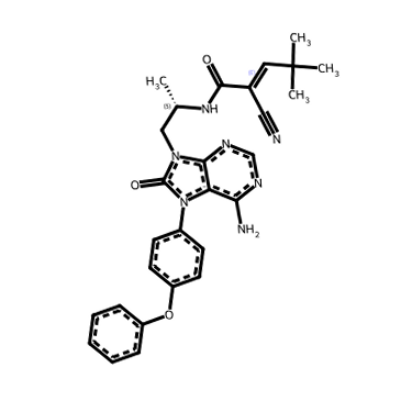 C[C@@H](Cn1c(=O)n(-c2ccc(Oc3ccccc3)cc2)c2c(N)ncnc21)NC(=O)/C(C#N)=C/C(C)(C)C